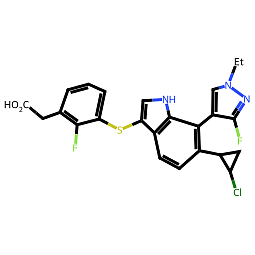 CCn1cc(-c2c(C3CC3Cl)ccc3c(Sc4cccc(CC(=O)O)c4F)c[nH]c23)c(F)n1